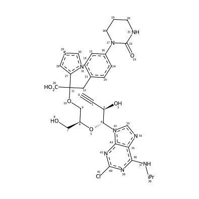 C#C[C@@H](O)[C@@H](O[C@@H](CO)COC(Cc1ccc(N2CCCNC2=O)cc1)(C(=O)O)c1cscn1)n1cnc2c(NC(C)C)nc(Cl)nc21